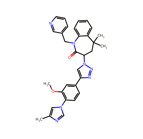 COc1cc(-c2cn(C3CC(C)(C)c4ccccc4N(Cc4cccnc4)C3=O)nn2)ccc1-n1cnc(C)c1